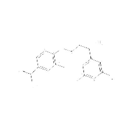 CC(C)c1ccc(OCC[C@H](C)c2cc(Cl)cc(Cl)c2)c(F)c1